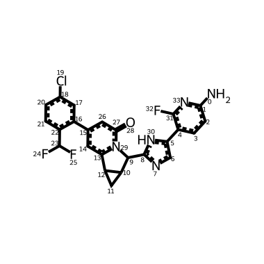 Nc1ccc(-c2cnc(C3C4CC4c4cc(-c5cc(Cl)ccc5C(F)F)cc(=O)n43)[nH]2)c(F)n1